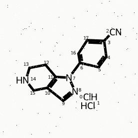 Cl.Cl.N#Cc1ccc(-n2ncc3c2CCNC3)cc1